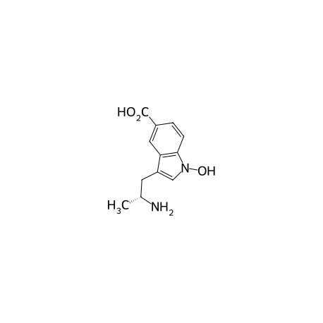 C[C@@H](N)Cc1cn(O)c2ccc(C(=O)O)cc12